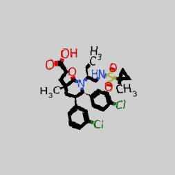 CC[C@@H](CNS(=O)(=O)C1(C)CC1)N1C(=O)[C@@](C)(CCC(=O)O)C[C@H](c2cccc(Cl)c2)[C@H]1c1ccc(Cl)cc1